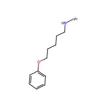 CCCNCCCCCOc1ccccc1